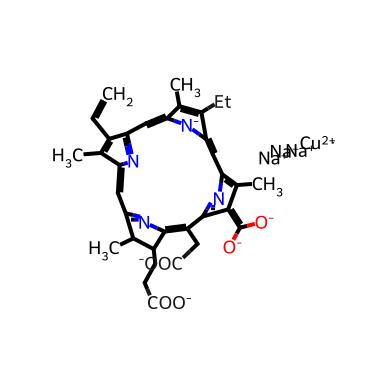 C=CC1=C(C)C2=CC3=NC(=C(CC(=O)[O-])C4=NC(=C(C)C4=C([O-])[O-])C=c4[n-]c(c(C)c4CC)=CC1=N2)C(CCC(=O)[O-])C3C.[Cu+2].[Na+].[Na+].[Na+]